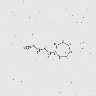 O=COCOC1CCCCCC1